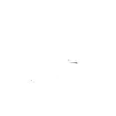 COC(=O)[C@@]1(c2cccc(F)c2C)CC(=O)/C(=C\N(C)C)C1